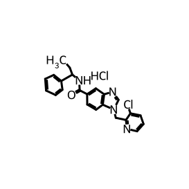 CCC(NC(=O)c1ccc2c(c1)ncn2Cc1ncccc1Cl)c1ccccc1.Cl